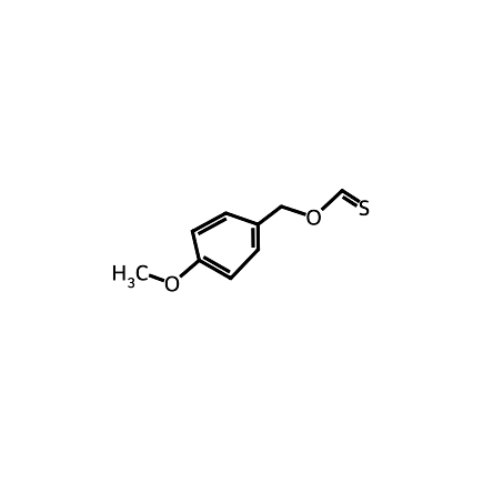 COc1ccc(COC=S)cc1